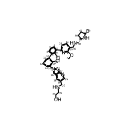 COc1nc(-c2cccc(-c3cccc(-n4cc5cc(CNCCO)cnc5n4)c3Cl)c2Cl)ccc1CNC[C@@H]1CCC(=O)N1